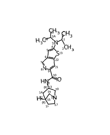 CC(C)N(c1cc2cnc(C(=O)N[C@@H]3C[C@H]4CCN(C4)C3)cc2s1)C(C)C